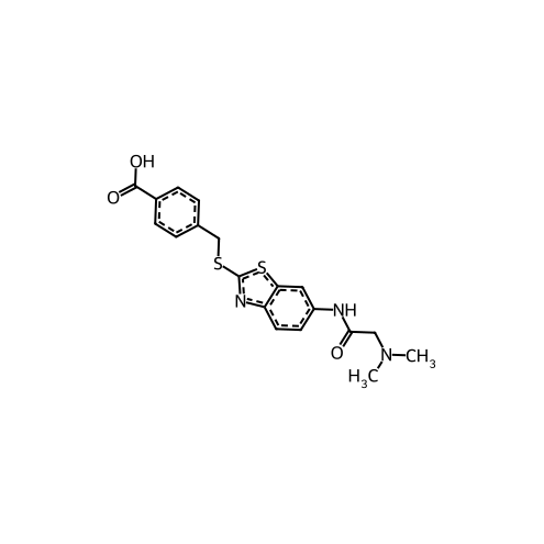 CN(C)CC(=O)Nc1ccc2nc(SCc3ccc(C(=O)O)cc3)sc2c1